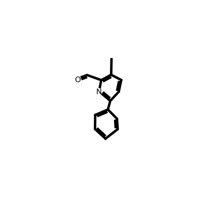 Cc1ccc(-c2ccccc2)nc1C=O